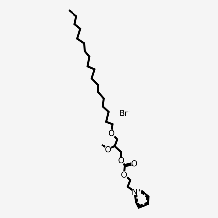 CCCCCCCCCCCCCCCCCCOCC(COC(=O)OCC[n+]1ccccc1)OC.[Br-]